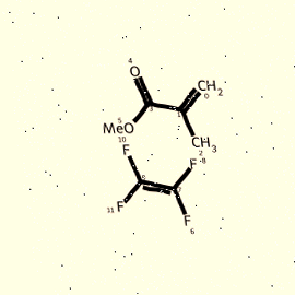 C=C(C)C(=O)OC.FC(F)=C(F)F